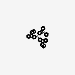 c1ccc(-n2c3ccccc3c3ccc(N(c4ccc5c(c4)-c4ccccc4C54C5CC6CC(C5)CC4C6)c4ccc5c(c4)C4(c6ccccc6-5)C5CC6CC(C5)CC4C6)cc32)cc1